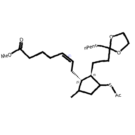 CCCCCC1(CC[C@H]2C(SC(C)=O)CC(C)[C@@H]2C/C=C\CCCC(=O)OC)OCCO1